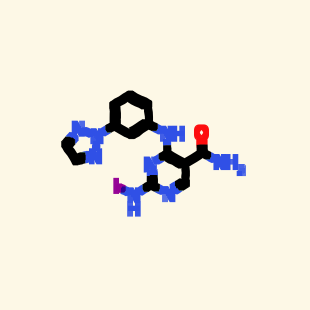 NC(=O)c1cnc(NI)nc1Nc1cccc(-n2nccn2)c1